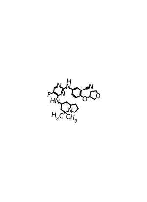 CC1(C)CC(Nc2nc(Nc3ccc(OC4CCOC4)c(C#N)c3)ncc2F)CC2CCCN21